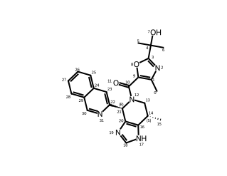 Cc1nc(C(C)(C)O)oc1C(=O)N1C[C@H](C)c2[nH]cnc2[C@H]1c1cc2ccccc2cn1